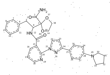 NC(=O)C1(C(Cc2ccccc2)NC(=O)c2cccnc2-n2ccc(-c3ccc(N4CCCC4)cc3)n2)OCCO1